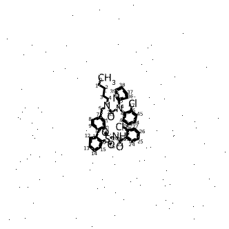 CCCCCN(Cc1ccc(-c2ccccc2S(=O)(=O)NC(=O)c2ccccc2Cl)cc1)C(=O)N(c1ccccn1)c1ccccc1Cl